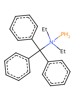 CC[N+](P)(CC)C(c1ccccc1)(c1ccccc1)c1ccccc1